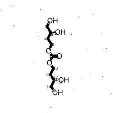 O=C(OCC[C@H](O)CO)OCC[C@H](O)CO